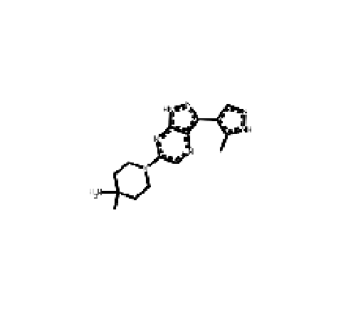 Cc1[nH]ncc1-c1n[nH]c2nc(N3CCC(C)(N)CC3)cnc12